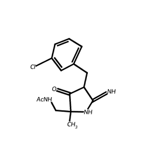 CC(=O)NCC1(C)NC(=N)C(Cc2cccc(Cl)c2)C1=O